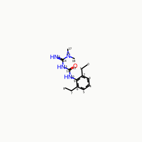 CCc1cccc(CC)c1NC(=O)NC(=N)N(C)C